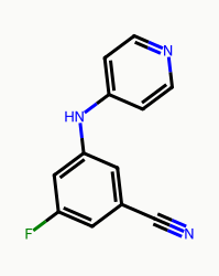 N#Cc1cc(F)cc(Nc2ccncc2)c1